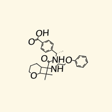 C[C@H](NC(=O)C1(NCCOc2ccccc2)C2CCCOC2C1(C)C)c1ccc(C(=O)O)cc1